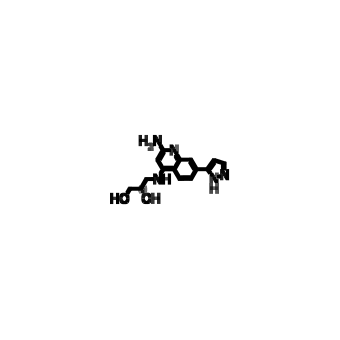 Nc1cc(NC[C@H](O)CO)c2ccc(-c3ccn[nH]3)cc2n1